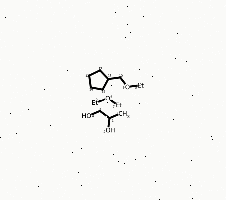 CC(O)CO.CCOCC.CCOCC1CCCC1